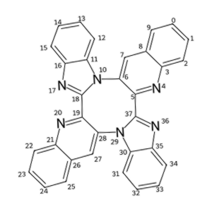 c1ccc2nc3c(cc2c1)n1c2ccccc2nc1c1nc2ccccc2cc1n1c2ccccc2nc31